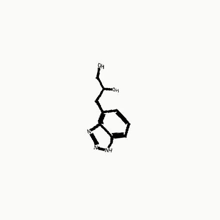 OCC(O)Cc1cccc2[nH]nnc12